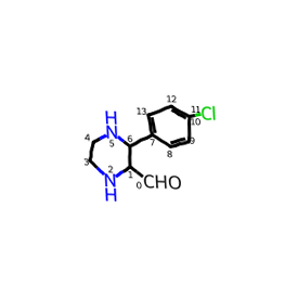 O=CC1NCCNC1c1ccc(Cl)cc1